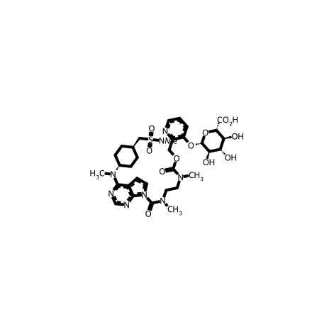 CNS(=O)(=O)C[C@H]1CC[C@H](N(C)c2ncnc3c2ccn3C(=O)N(C)CCN(C)C(=O)OCc2ncccc2O[C@@H]2O[C@H](C(=O)O)[C@@H](O)[C@H](O)[C@H]2O)CC1